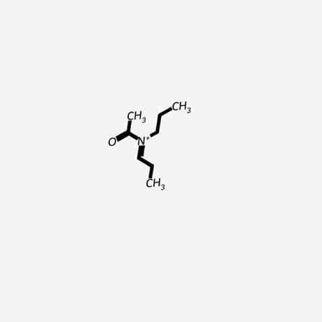 CC/C=[N+](\CCC)C(C)=O